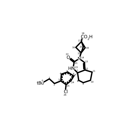 CC(C)(C)CCc1ccc([C@@]23CCCCC2=CN(C24CC(C(=O)O)(C2)C4)C(=O)N3)cc1Cl